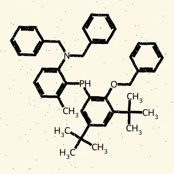 Cc1cccc(N(Cc2ccccc2)Cc2ccccc2)c1Pc1cc(C(C)(C)C)cc(C(C)(C)C)c1OCc1ccccc1